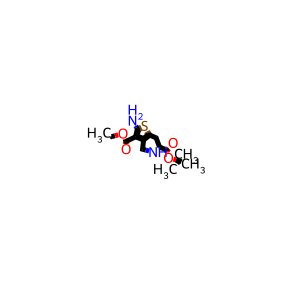 CCOC(=O)c1c(N)sc2c1CNC(C(=O)OC(C)(C)C)C2